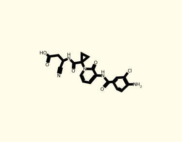 N#CC(CC(=O)O)NC(=O)C1(n2cccc(NC(=O)c3ccc(N)c(Cl)c3)c2=O)CC1